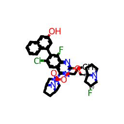 CCCCOC(=O)N1C2CCC1CN(c1nc(OC[C@@]34CCCN3C[C@H](F)C4)nc3c(F)c(-c4cc(O)cc5ccccc45)c(Cl)cc13)C2